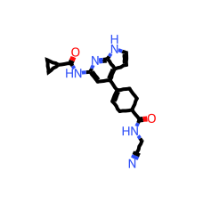 N#CCNC(=O)C1CC=C(c2cc(NC(=O)C3CC3)nc3[nH]ccc23)CC1